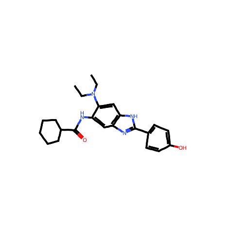 CCN(CC)c1cc2[nH]c(-c3ccc(O)cc3)nc2cc1NC(=O)C1CCCCC1